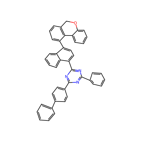 c1ccc(-c2ccc(-c3nc(-c4ccccc4)nc(-c4ccc(-c5cccc6c5-c5ccccc5OC6)c5ccccc45)n3)cc2)cc1